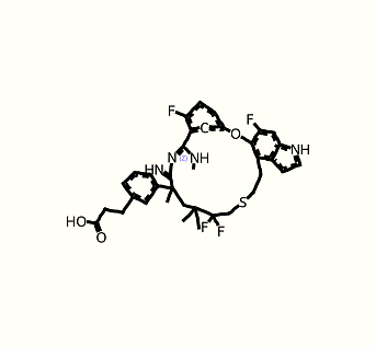 CN/C1=N\C(=N)C(C)(c2cccc(CCC(=O)O)c2)CC(C)(C)C(F)(F)CSCCc2c(c(F)cc3[nH]ccc23)Oc2ccc(F)c1c2